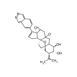 CN(C)[C@H]1C[C@@]23CC[C@]4(O2)C2CC=C(c5ccc6cnncc6c5)[C@@]2(C)CCC4(Cl)CC3[C@@H](O)[C@@H]1O